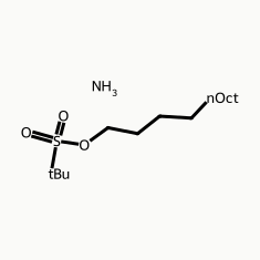 CCCCCCCCCCCCOS(=O)(=O)C(C)(C)C.N